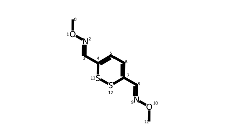 CO/N=C/C1=CC=C(/C=N/OC)SS1